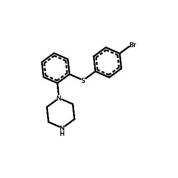 Brc1ccc(Sc2ccccc2N2CCNCC2)cc1